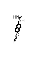 CC(=N)NCc1ccc2cc(OCCCF)ccc2c1